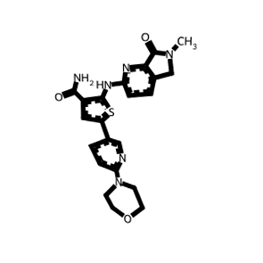 CN1Cc2ccc(Nc3sc(-c4ccc(N5CCOCC5)nc4)cc3C(N)=O)nc2C1=O